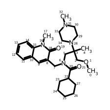 COCC(C)(CN(Cc1cc2ccccc2n(C)c1=O)C(=O)C1CCCCC1)N1CCN(C)CC1